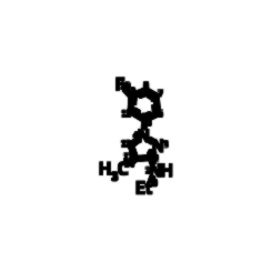 CCNC1=NN(c2cccc(F)c2)CC1C